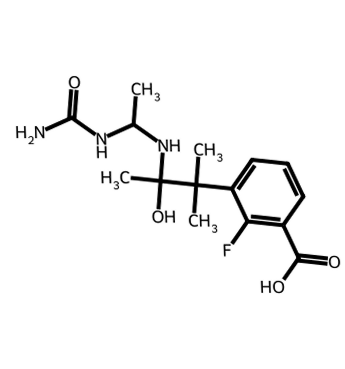 CC(NC(N)=O)NC(C)(O)C(C)(C)c1cccc(C(=O)O)c1F